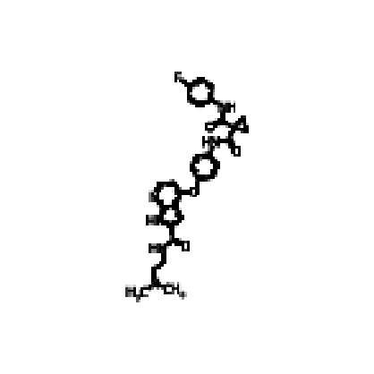 CN(C)CCNC(=O)c1cc2c(Oc3ccc(NC(=O)C4(C(=O)Nc5ccc(F)cc5)CC4)cc3)ccnc2[nH]1